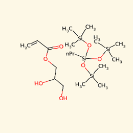 C=CC(=O)OCC(O)CO.CCC[Si](O[Si](C)(C)C)(O[Si](C)(C)C)O[Si](C)(C)C